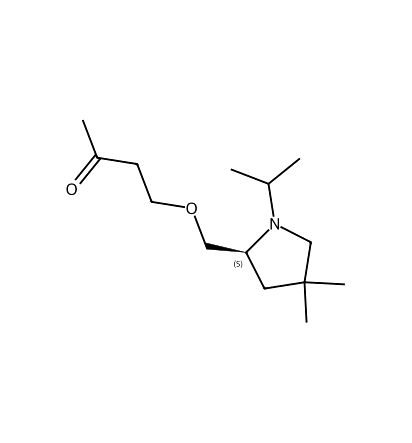 CC(=O)CCOC[C@@H]1CC(C)(C)CN1C(C)C